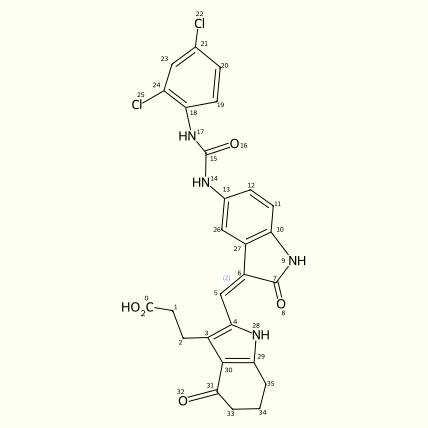 O=C(O)CCc1c(/C=C2\C(=O)Nc3ccc(NC(=O)Nc4ccc(Cl)cc4Cl)cc32)[nH]c2c1C(=O)CCC2